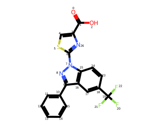 O=C(O)c1csc(-n2nc(-c3ccccc3)c3cc(C(F)(F)F)ccc32)n1